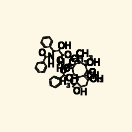 CC1=C2[C@@H](O)C(=O)[C@@]3(C)[C@H]([C@H](OC(=O)c4ccccc4)[C@](O)(C[C@@H]1OC(=O)[C@H](O)[C@@H](NC(=O)c1ccccc1)c1ccccc1)C2(C)C)[C@]1(C)CO[C@@H]1C[C@@H]3O